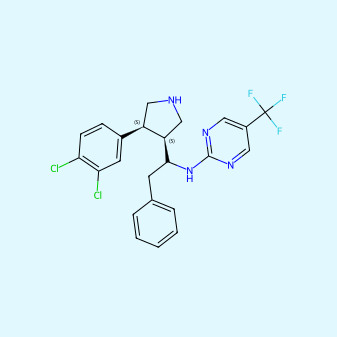 FC(F)(F)c1cnc(NC(Cc2ccccc2)[C@@H]2CNC[C@@H]2c2ccc(Cl)c(Cl)c2)nc1